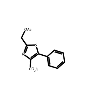 CC(=O)OCc1nc(C(=O)O)c(-c2ccccc2)s1